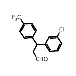 O=CCC(c1ccc(C(F)(F)F)cc1)c1cccc(Cl)c1